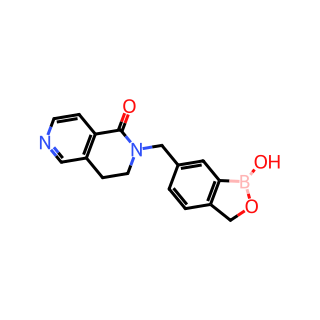 O=C1c2ccncc2CCN1Cc1ccc2c(c1)B(O)OC2